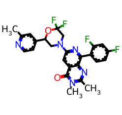 Cc1cc(C2CN(c3cc4c(=O)n(C)c(C)nc4c(-c4ccc(F)cc4F)n3)CC(F)(F)O2)ccn1